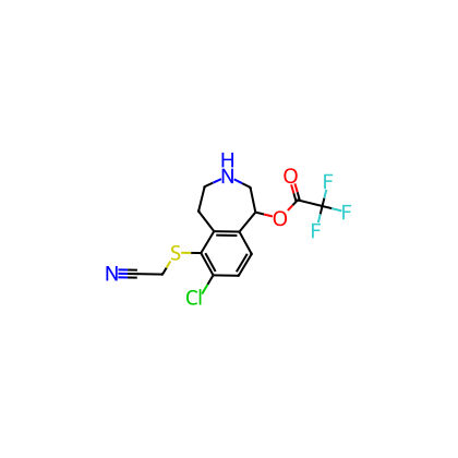 N#CCSc1c(Cl)ccc2c1CCNCC2OC(=O)C(F)(F)F